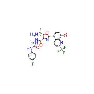 COc1ccc(-c2nc(C(=O)N[C@@H](C)C(=O)Nc3ccc(F)cc3)c([C@H](C)N)o2)c2ccc(C(F)(F)F)nc12